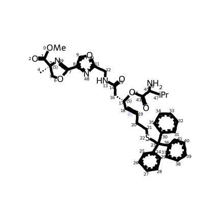 COC(=O)[C@]1(C)COC(c2coc(CNC(=O)C[C@@H](/C=C/CCSC(c3ccccc3)(c3ccccc3)c3ccccc3)OC(=O)C(N)C(C)C)n2)=N1